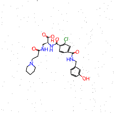 O=C(CCN1CCCCC1)NC[C@H](NC(=O)c1ccc(C(=O)NCc2cccc(O)c2)cc1Cl)C(=O)O